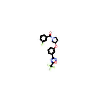 O=C(c1cccc(F)c1)N1CC[C@@H](Oc2cccc(-c3noc(C(F)(F)F)n3)c2)C1